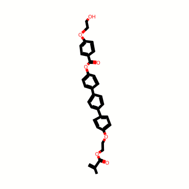 C=C(C)C(=O)OCCOc1ccc(-c2ccc(-c3ccc(OC(=O)c4ccc(OCCO)cc4)cc3)cc2)cc1